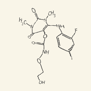 Cn1c(Nc2ccc(I)cc2F)c(OC(=O)NOCCO)c(=O)n(C)c1=O